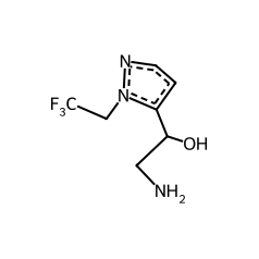 NCC(O)c1ccnn1CC(F)(F)F